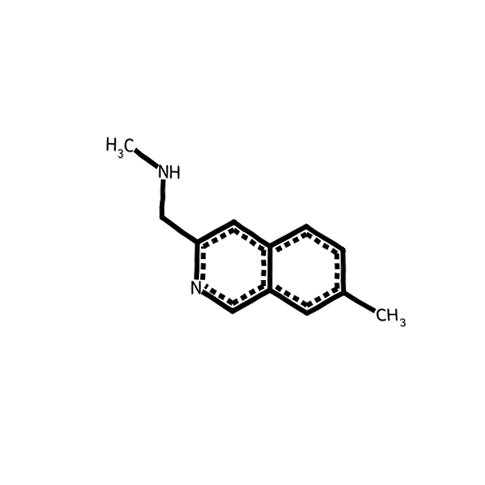 CNCc1cc2ccc(C)cc2cn1